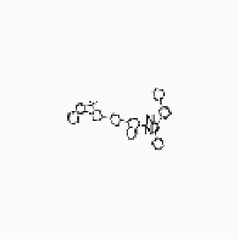 CC1(C)c2cc(-c3ccc(-c4ccc(-c5nc(-c6ccccc6)cc(-c6cccc(-c7ccccc7)c6)n5)c5ccccc45)cc3)ccc2-c2c1ccc1ccccc21